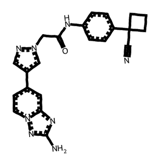 N#CC1(c2ccc(NC(=O)Cn3cc(-c4ccn5nc(N)nc5c4)cn3)cc2)CCC1